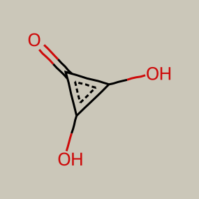 O=c1c(O)c1O